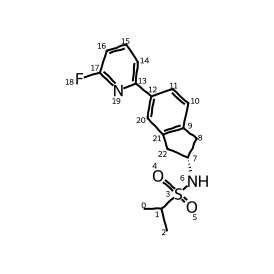 CC(C)S(=O)(=O)N[C@H]1Cc2ccc(-c3cccc(F)n3)cc2C1